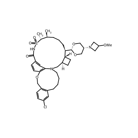 COC1CN([C@H]2CO[C@@H]([C@@H]3CCC[C@H](C)[C@@H](C)S(=O)(=O)NC(=O)c4ccc5c(c4)N(CCCCc4cc(Cl)ccc4CO5)C[C@@H]4CC[C@H]43)OC2)C1